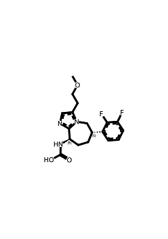 COCCc1cnc2n1C[C@H](c1cccc(F)c1F)CC[C@H]2NC(=O)O